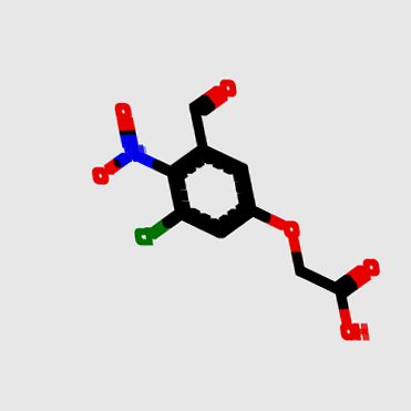 O=Cc1cc(OCC(=O)O)cc(Cl)c1[N+](=O)[O-]